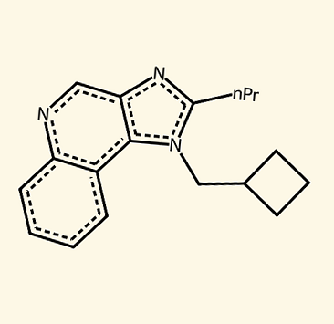 CCCc1nc2cnc3ccccc3c2n1CC1CCC1